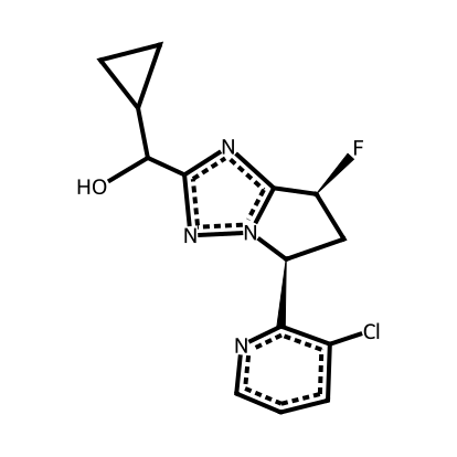 OC(c1nc2n(n1)[C@H](c1ncccc1Cl)C[C@@H]2F)C1CC1